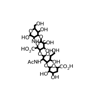 CC(=O)NC1C(O)OC(CO)C(O)C1OC1OC(C(=O)O)C(OC2OC(CO)C(O)C(OC3OC(C(=O)O)CC(O)C3O)C2NC(C)=O)C(O)C1O